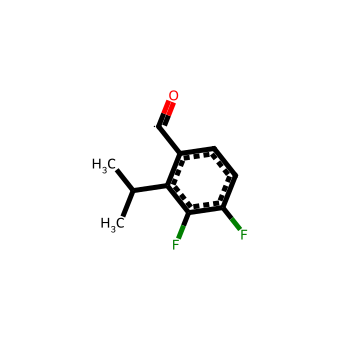 CC(C)c1c([C]=O)ccc(F)c1F